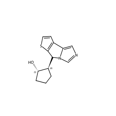 O[C@H]1CCC[C@@H]1C1c2sccc2-c2cncn21